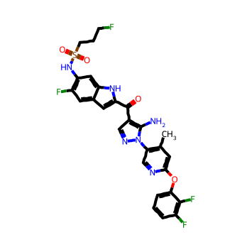 Cc1cc(Oc2cccc(F)c2F)ncc1-n1ncc(C(=O)c2cc3cc(F)c(NS(=O)(=O)CCCF)cc3[nH]2)c1N